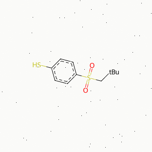 CC(C)(C)CS(=O)(=O)c1ccc(S)cc1